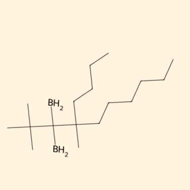 BC(B)(C(C)(C)C)C(C)(CCCC)CCCCCC